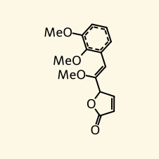 COC(=Cc1cccc(OC)c1OC)C1C=CC(=O)O1